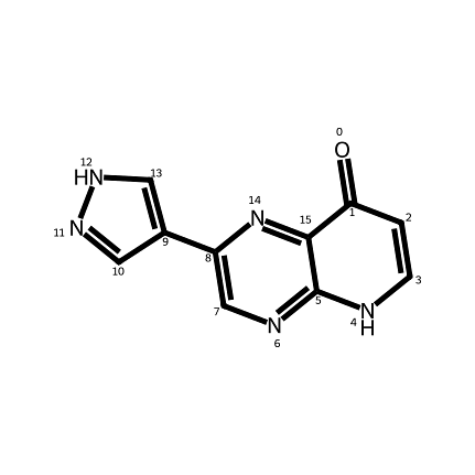 O=c1cc[nH]c2ncc(-c3cn[nH]c3)nc12